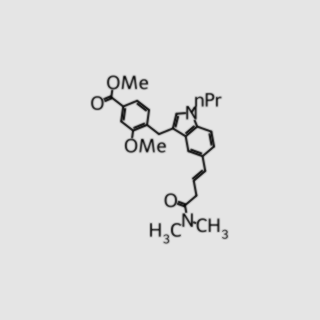 CCCn1cc(Cc2ccc(C(=O)OC)cc2OC)c2cc(C=CCC(=O)N(C)C)ccc21